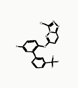 Fc1ccc(Oc2ccc3nnc(Cl)n3n2)c(-c2cccc(C(F)(F)F)c2)c1